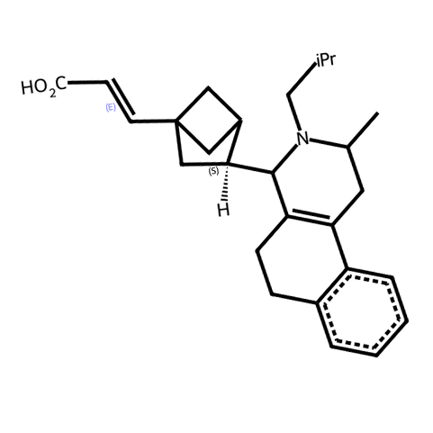 CC(C)CN1C(C)CC2=C(CCc3ccccc32)C1[C@H]1CC2(/C=C/C(=O)O)CC1C2